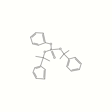 CC(C)(OP(=O)(Oc1ccccc1)OC(C)(C)c1ccccc1)c1ccccc1